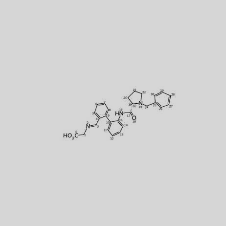 O=C(O)CN=Cc1ccccc1-c1ccccc1NC(=O)[C@@H]1CCCN1Cc1ccccc1